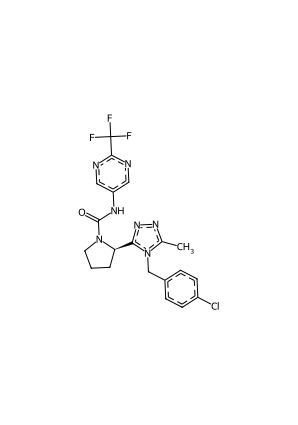 Cc1nnc([C@H]2CCCN2C(=O)Nc2cnc(C(F)(F)F)nc2)n1Cc1ccc(Cl)cc1